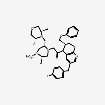 C[C@@H]1CN(CC(=O)N2c3cc(Cc4ccc(F)cc4)cnc3OC[C@@H]2COc2ccccc2)[C@@H](CN2[C@H](C)COC[C@H]2C)CN1C(=O)O